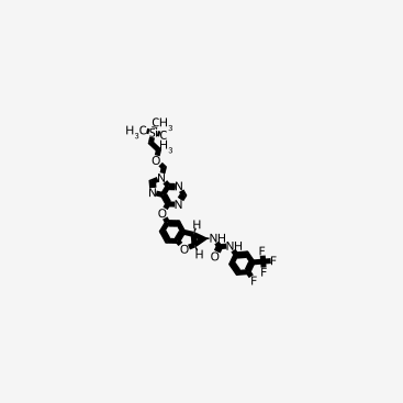 C[Si](C)(C)CCOCn1cnc2c(Oc3ccc4c(c3)[C@H]3[C@H](NC(=O)Nc5ccc(F)c(C(F)(F)F)c5)[C@H]3O4)ncnc21